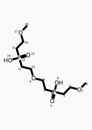 COCCP(=O)(O)CCOCCP(=O)(O)CCOC